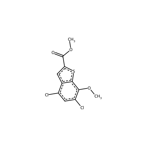 COC(=O)c1cc2c(Cl)cc(Cl)c(OC)c2s1